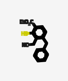 CCOC(=O)c1ccc(Cc2ccccc2)c(CC#N)c1S